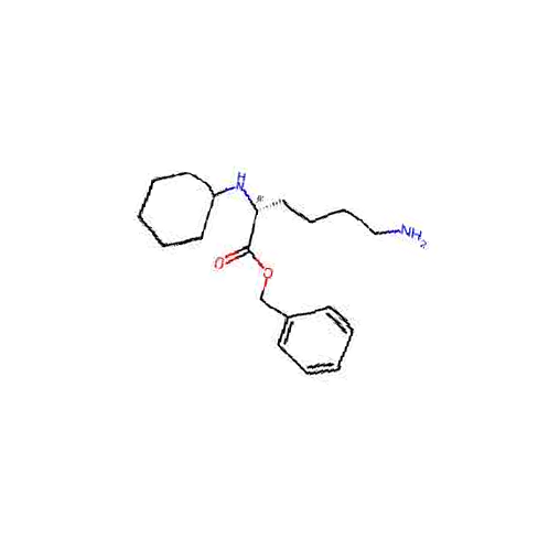 NCCCC[C@@H](NC1CCCCC1)C(=O)OCc1ccccc1